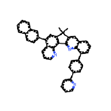 CC1(C)c2cc3cccc(-c4ccc(-c5ccccn5)cc4)c3nc2-c2c1cc(-c1ccc3ccccc3c1)c1cccnc21